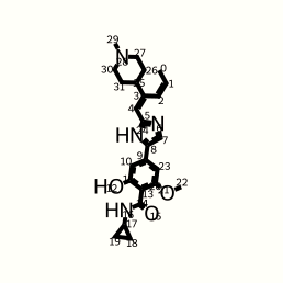 C/C=C\C(=C/c1ncc(-c2cc(O)c(C(=O)NC3CC3)c(OC)c2)[nH]1)C1CCN(C)CC1